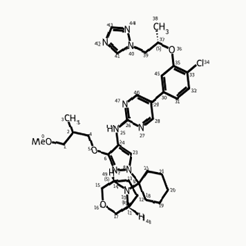 COCC(C)COc1nn(C2(N3[C@@H]4CC[C@H]3COC4)CCCCC2)cc1Nc1ncc(-c2ccc(Cl)c(O[C@@H](C)Cn3cncn3)c2)cn1